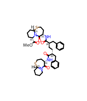 COC(=O)[C@@H]1CCC[C@@H]2SCC[C@H](NC(=O)[C@H](CC[C@H](Cc3ccccc3)C(=O)N[C@H]3CCS[C@H]4CCCCN4C3=O)Cc3ccccc3)C(=O)N21